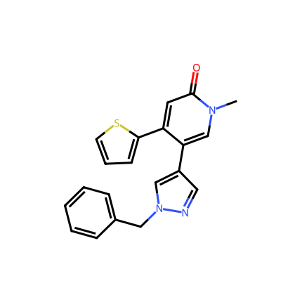 Cn1cc(-c2cnn(Cc3ccccc3)c2)c(-c2cccs2)cc1=O